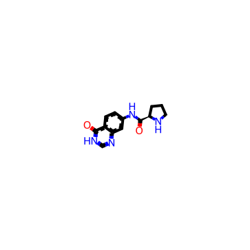 O=C(Nc1ccc2c(=O)[nH]cnc2c1)[C@H]1CCCN1